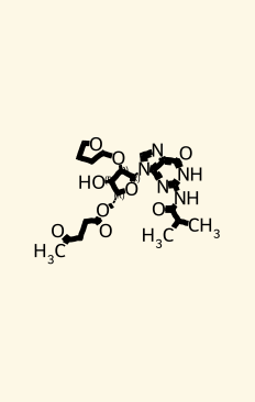 CC(=O)CCC(=O)OC[C@H]1O[C@@H](n2cnc3c(=O)[nH]c(NC(=O)C(C)C)nc32)[C@H](OC2CCCO2)[C@@H]1O